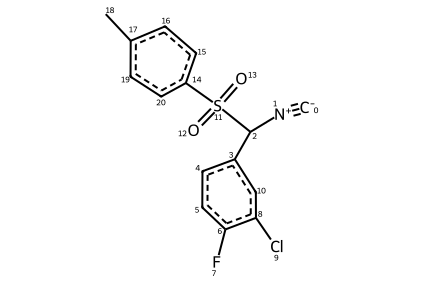 [C-]#[N+]C(c1ccc(F)c(Cl)c1)S(=O)(=O)c1ccc(C)cc1